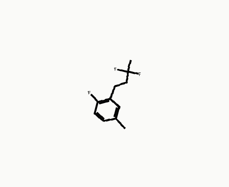 Cc1ccc(F)c(CCC(C)(F)F)c1